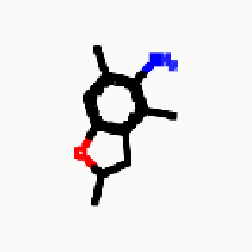 Cc1cc2c(c(C)c1N)CC(C)O2